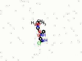 CC(C)(C)OC(=O)N1CCC(COC[C@H](NC(=O)c2ccc3c(Cl)c[nH]c3c2)c2ccccc2)CC1